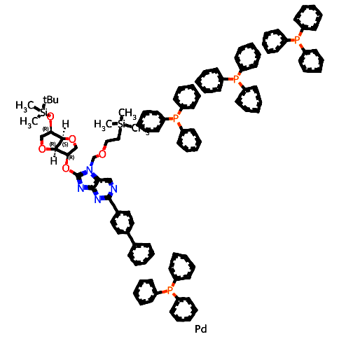 CC(C)(C)[Si](C)(C)O[C@@H]1CO[C@H]2[C@@H]1OC[C@H]2Oc1nc2nc(-c3ccc(-c4ccccc4)cc3)ncc2n1COCC[Si](C)(C)C.[Pd].c1ccc(P(c2ccccc2)c2ccccc2)cc1.c1ccc(P(c2ccccc2)c2ccccc2)cc1.c1ccc(P(c2ccccc2)c2ccccc2)cc1.c1ccc(P(c2ccccc2)c2ccccc2)cc1